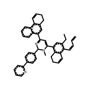 C=C/C=C\c1c(CC)cc(C2=CC(c3cc4c(c5ccccc35)C=CCC4)=NC(c3ccc(-c4ccccn4)cc3)N2C)c2c1C=CCC2